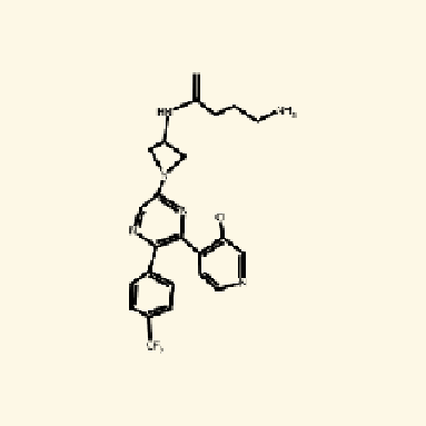 C=C(CCCN)NC1CN(c2cnc(-c3ccc(C(F)(F)F)cc3)c(-c3ccncc3Cl)n2)C1